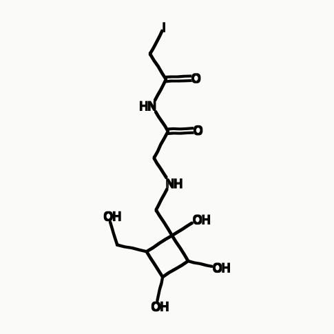 O=C(CI)NC(=O)CNCC1(O)C(O)C(O)C1CO